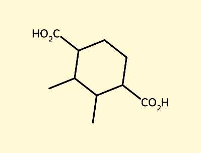 CC1C(C(=O)O)CCC(C(=O)O)C1C